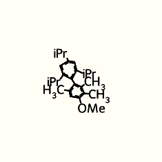 COc1cc(C)c(-c2c(C(C)C)cc(C(C)C)cc2C(C)C)c(C)c1C